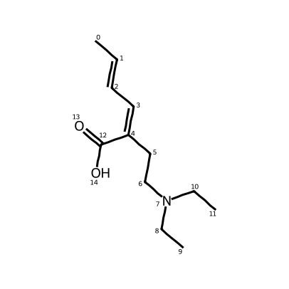 CC=CC=C(CCN(CC)CC)C(=O)O